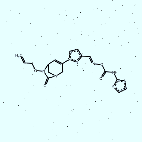 C=CCON1C(=O)N2CC(n3ccc(C=NOC(=O)Nc4nccs4)n3)=CC1C2